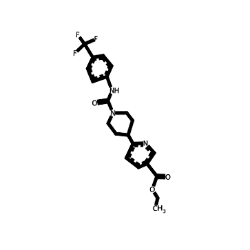 CCOC(=O)c1ccc(C2CCN(C(=O)Nc3ccc(C(F)(F)F)cc3)CC2)nc1